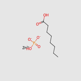 CCCCCCCC(=O)O.O=P([O-])([O-])O.[Zn+2]